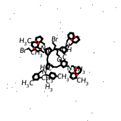 Cc1ccc(CN(Cc2ccccc2)c2cc3c(OCCCCCCBr)c(c2)Cc2cc(N(Cc4ccc(C)cc4C)Cc4ccc(C)cc4C)cc(c2O)Cc2cc(N(Cc4ccccc4)Cc4ccc(C)cc4C)cc(c2OCCCCCCBr)Cc2cc(N(Cc4ccccc4)Cc4ccccc4)cc(c2O)C3)c(C)c1